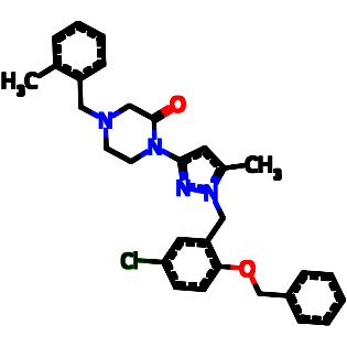 Cc1ccccc1CN1CCN(c2cc(C)n(Cc3cc(Cl)ccc3OCc3ccccc3)n2)C(=O)C1